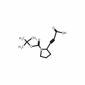 CC(C)(C)OC(=O)N1CCCC1C#CC(=O)O